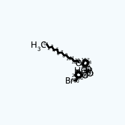 CCCCCCCCCCCCCCOc1cccc(OP(=O)(O)Oc2cccc(CBr)c2)c1